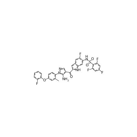 Cc1cc(Oc2ccccc2F)ccc1-n1ncc(C(=O)c2cc3cc(F)c(NS(=O)(=O)c4c(F)cc(F)cc4F)cc3[nH]2)c1N